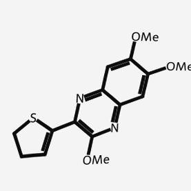 COc1cc2nc(OC)c(C3=CCCS3)nc2cc1OC